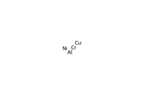 [Al].[Cr].[Cu].[Ni]